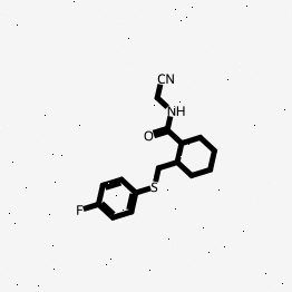 N#CCNC(=O)C1CCCCC1CSc1ccc(F)cc1